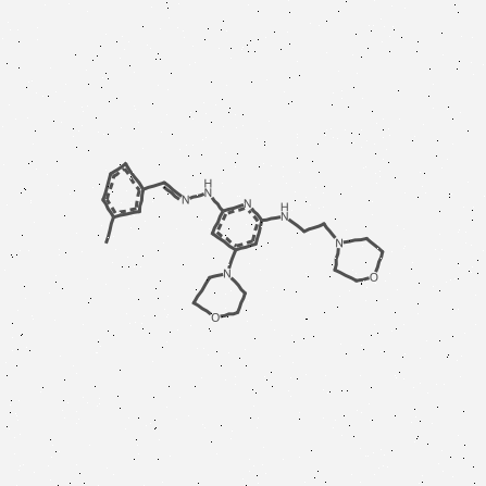 Cc1cccc(C=NNc2cc(N3CCOCC3)cc(NCCN3CCOCC3)n2)c1